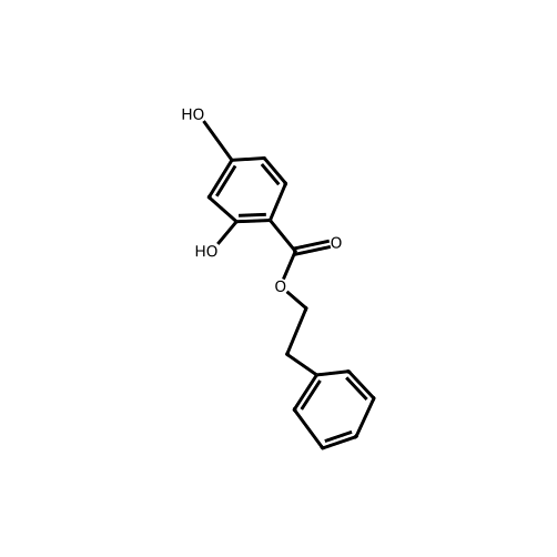 O=C(OCCc1ccccc1)c1ccc(O)cc1O